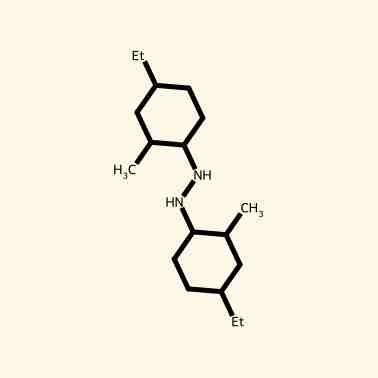 CCC1CCC(NNC2CCC(CC)CC2C)C(C)C1